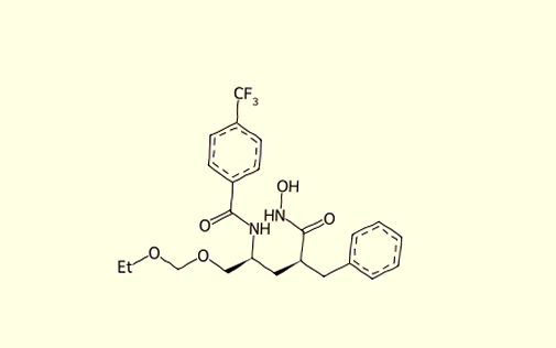 CCOCOC[C@H](C[C@H](Cc1ccccc1)C(=O)NO)NC(=O)c1ccc(C(F)(F)F)cc1